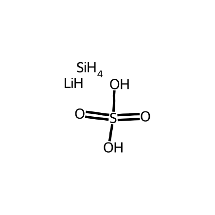 O=S(=O)(O)O.[LiH].[SiH4]